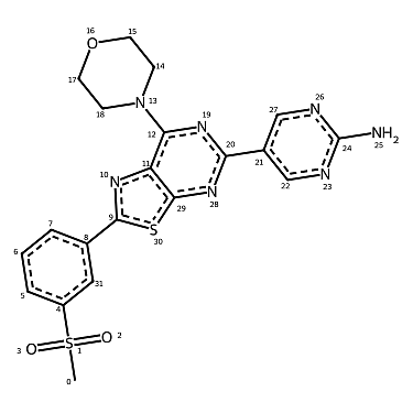 CS(=O)(=O)c1cccc(-c2nc3c(N4CCOCC4)nc(-c4cnc(N)nc4)nc3s2)c1